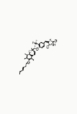 CCCCCCOc1c(C)c(C)c2c(c1C)CCC(C)(COc1ccc(C=C3SC(=O)NC3=O)cc1C(F)(F)F)O2